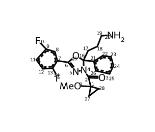 COC1(C(=O)N2N=C(c3cc(F)ccc3F)OC2(CCCN)c2ccccc2)CC1